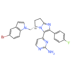 Nc1nccc(-c2c(-c3ccc(F)cc3)nc3n2[C@H](Cn2ccc4cc(Br)ccc42)CC3)n1